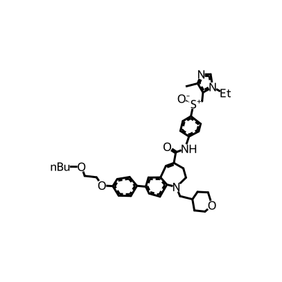 CCCCOCCOc1ccc(-c2ccc3c(c2)C=C(C(=O)Nc2ccc([S@+]([O-])Cc4c(C)ncn4CC)cc2)CCN3CC2CCOCC2)cc1